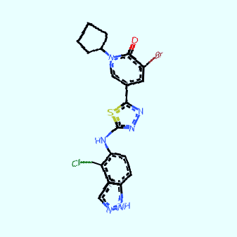 O=c1c(Br)cc(-c2nnc(Nc3ccc4[nH]ncc4c3Cl)s2)cn1C1CCCC1